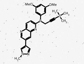 COc1cc(OC)cc(N(CC#CS(C)(C)C)c2ccc3ncc(-c4cnn(C)c4)cc3n2)c1